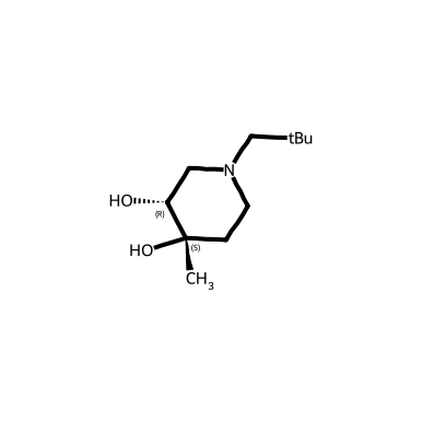 CC(C)(C)CN1CC[C@](C)(O)[C@H](O)C1